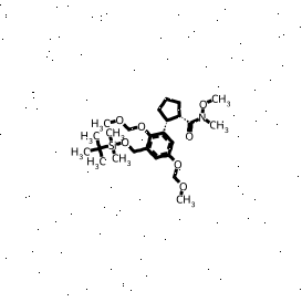 COCOc1cc(CO[Si](C)(C)C(C)(C)C)c(OCOC)c([C@@H]2CCC[C@@H]2C(=O)N(C)OC)c1